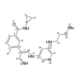 Cc1ccc(C(=O)NC2CC2)cc1/C(C=N)=C/Nc1cncc(NCCOC(C)(C)C)c1